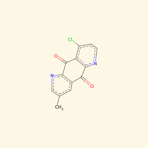 Cc1cnc2c(c1)C(=O)c1nccc(Cl)c1C2=O